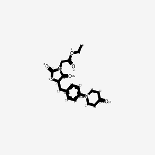 CCOC(=O)CN1C(=O)SC(Cc2ccc(N3CCC(=O)CC3)cc2)C1=O